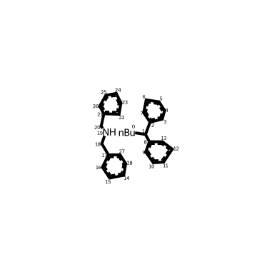 CCCCC(c1ccccc1)c1ccccc1.c1ccc(CNCc2ccccc2)cc1